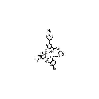 CC(=O)c1nn(CC(=O)N2[C@H](C(=O)Nc3nc(Br)ccc3CCCN3CCOCC3)C[C@@]3(C)C[C@@H]23)c2cnc(-c3cnc(C)nc3)cc12